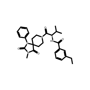 CCc1cccc(C(=O)N[C@@H](C(=O)N2CCC3(CC2)C(=O)N(C)C(=O)N3c2ccccc2)C(C)C)c1